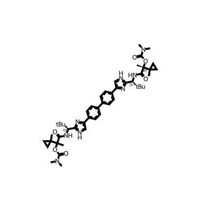 CN(C)C(=O)OC(C)(C(=O)N[C@H](c1nc(-c2ccc(-c3ccc(-c4c[nH]c([C@@H](NC(=O)[C@](C)(OC(=O)N(C)C)C5(C)CC5)C(C)(C)C)n4)cc3)cc2)c[nH]1)C(C)(C)C)C1(C)CC1